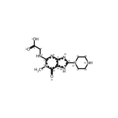 Cn1c(NCC(=O)O)nc2nc(N3CCNCC3)[nH]c2c1=O